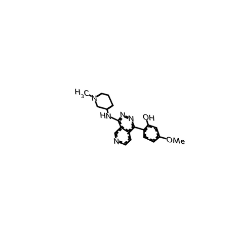 COc1ccc(-c2nnc(NC3CCCN(C)C3)c3cnccc23)c(O)c1